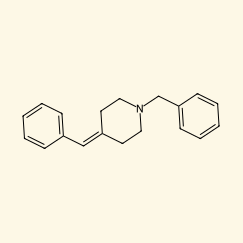 C(=C1CCN(Cc2ccccc2)CC1)c1ccccc1